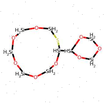 O1[SiH2]O[SiH2]O[SiH2]S[SiH]([SiH]2O[SiH2]O[SiH2]O2)O[SiH2]O[SiH2]1